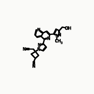 Cn1nc(CO)cc1-c1cc2ncccc2c(-c2ccn(C3(CC#N)CC(C#N)C3)n2)n1